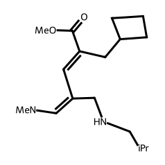 CN/C=C(\C=C(/CC1CCC1)C(=O)OC)CNCC(C)C